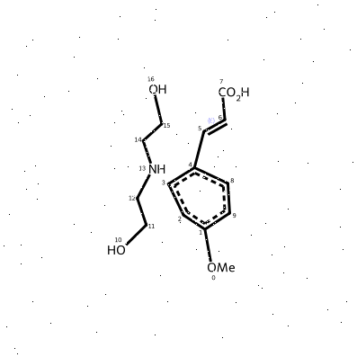 COc1ccc(/C=C/C(=O)O)cc1.OCCNCCO